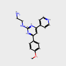 COc1ccc(-c2cc(-c3ccncc3)nc(NCCN)n2)cc1